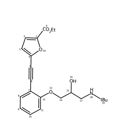 CCOC(=O)c1ccc(C#Cc2ccccc2OCC(O)CNC(C)(C)C)o1